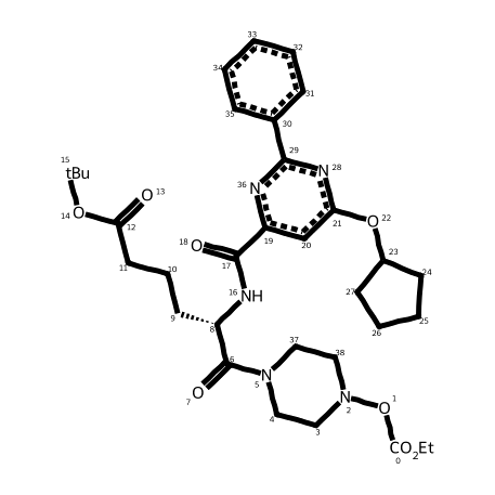 CCOC(=O)ON1CCN(C(=O)[C@H](CCCC(=O)OC(C)(C)C)NC(=O)c2cc(OC3CCCC3)nc(-c3ccccc3)n2)CC1